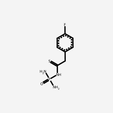 NP(N)(=O)NC(=S)Cc1ccc(F)cc1